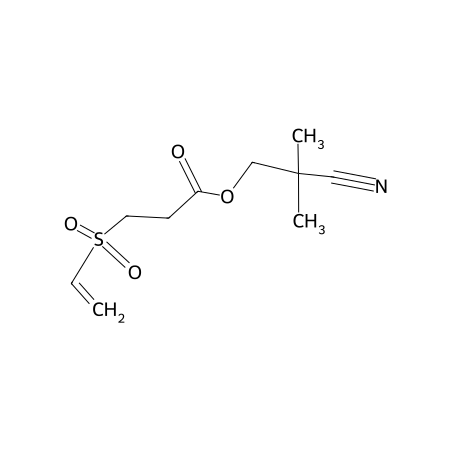 C=CS(=O)(=O)CCC(=O)OCC(C)(C)C#N